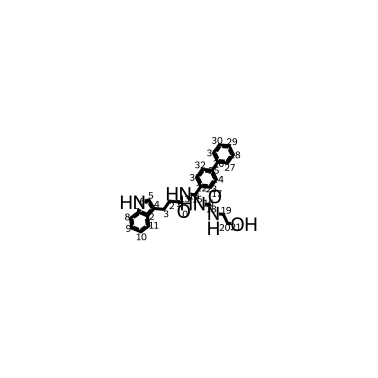 O=C(CCc1c[nH]c2ccccc12)NC(NC(=O)NCCO)c1ccc(-c2ccccc2)cc1